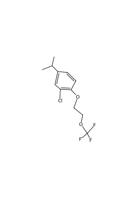 CC(C)c1ccc(OCCOC(F)(F)F)c(Cl)c1